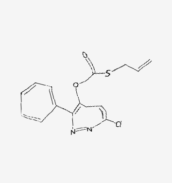 C=CCSC(=O)Oc1cc(Cl)nnc1-c1ccccc1